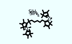 CC1=C(C)C(C)(C)[C]([Zr]2([CH3])[C]3=[C]2C(C)(C)C(C)=C3C)=C1CCCCCC(C)(C)C1=[C]([Zr]2([CH3])[C]3=[C]2C(C)(C)C(C)=C3C)C(C)(C)C(C)=C1C.[SiH4].[SiH4]